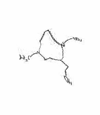 CN1CCN(C(C)(C)C)C(CO)C1